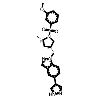 COc1cccc(S(=O)(=O)N2C[C@H](Cn3ncc4cc(-c5cn[nH]c5)ccc43)C[C@@H]2C)c1